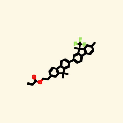 C=CC(=O)OCCc1ccc2c(c1)C(C)(C)c1cc(-c3ccc4c(c3)C(C)(C(F)(F)F)c3cc(C)ccc3-4)ccc1-2